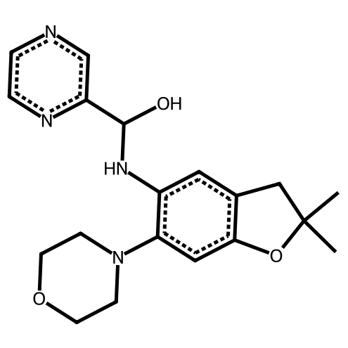 CC1(C)Cc2cc(NC(O)c3cnccn3)c(N3CCOCC3)cc2O1